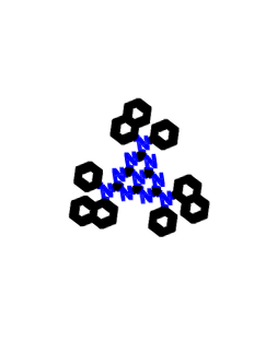 c1ccc(N(C2=NC3=NC(N(c4ccccc4)c4cccc5ccccc45)=NC4=NC(N(c5ccccc5)c5cccc6ccccc56)=NC(=N2)N34)c2cccc3ccccc23)cc1